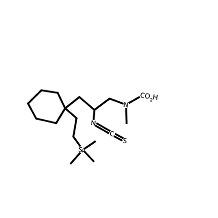 CN(CC(CC1(CC[Si](C)(C)C)CCCCC1)N=C=S)C(=O)O